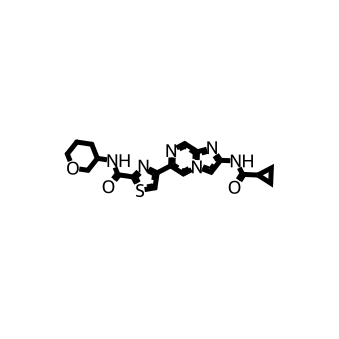 O=C(NC1CCCOC1)c1nc(-c2cn3cc(NC(=O)C4CC4)nc3cn2)cs1